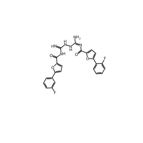 N=C(NNC(N)=NC(=O)c1ccc(-c2ccccc2F)o1)NC(=O)c1ccc(-c2cccc(F)c2)o1